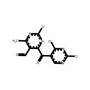 Cc1nc(Cl)nc(C(=O)c2cnc(Cl)nc2Cl)c1[C]=O